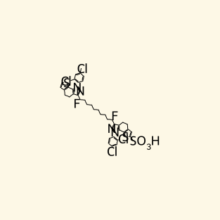 O=S(=O)(O)c1cc2c(s1)-c1c(c(C(F)CCCCCCCCC(F)c3nn(-c4ccc(Cl)cc4Cl)c4c3CCc3ccsc3-4)nn1-c1ccc(Cl)cc1Cl)CC2